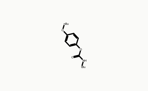 CCCCOc1ccc(OC(=O)NC(C)(C)C)cc1